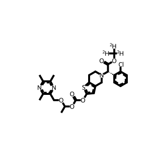 [2H]C([2H])([2H])OC(=O)[C@H](c1ccccc1Cl)N1CCc2sc(OC(=O)OC(C)OCc3nc(C)c(C)nc3C)cc2C1